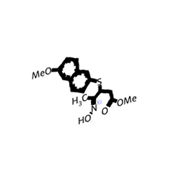 COC(=O)CC(Sc1ccc2cc(OC)ccc2c1)/C(C)=N/O